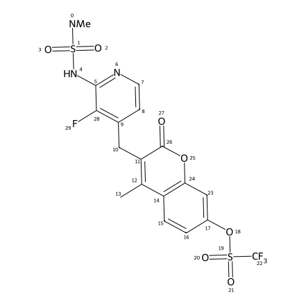 CNS(=O)(=O)Nc1nccc(Cc2c(C)c3ccc(OS(=O)(=O)C(F)(F)F)cc3oc2=O)c1F